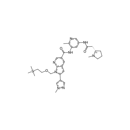 Cc1ncc(NC(=O)C[C@@H]2CCCN2C)cc1NC(=O)c1cnc2c(c1)cc(-c1cnn(C)c1)n2COCC[Si](C)(C)C